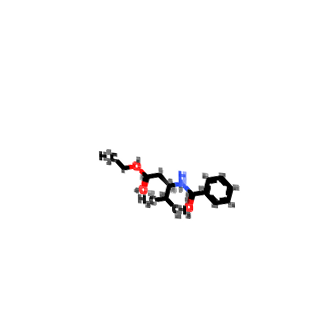 CCOC(=O)C[C@@H](NC(=O)c1ccccc1)C(C)C